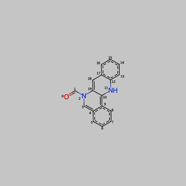 O=CN1C=c2ccccc2=C2Nc3ccccc3C=C21